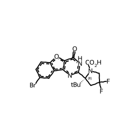 CC(C)(C)[C@@]1(c2nc3c(oc4ccc(Br)cc43)c(=O)[nH]2)CC(F)(F)CN1C(=O)O